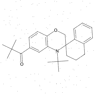 CC(C)(C)C(=O)c1ccc2c(c1)N(C(C)(C)C)C1(CCCc3ccccc31)CO2